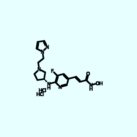 Cl.Cl.O=C(/C=C/c1cnc(N[C@@H]2CCN(CCn3cccn3)C2)c(F)c1)NO